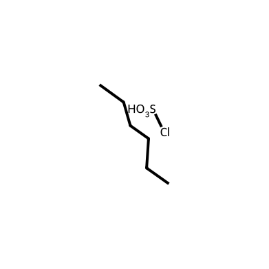 CCCCCC.O=S(=O)(O)Cl